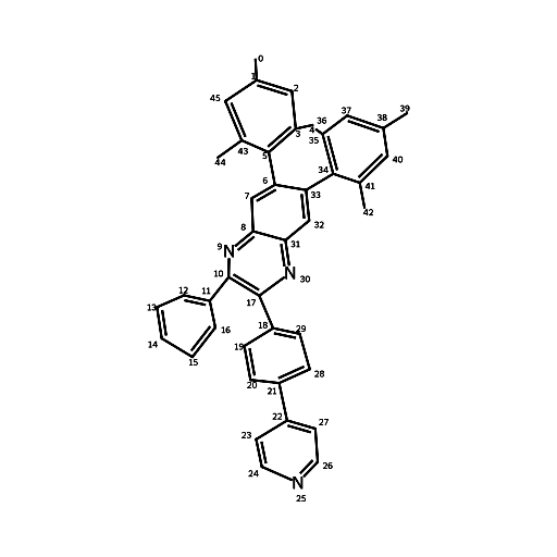 Cc1cc(C)c(-c2cc3nc(-c4ccccc4)c(-c4ccc(-c5ccncc5)cc4)nc3cc2-c2c(C)cc(C)cc2C)c(C)c1